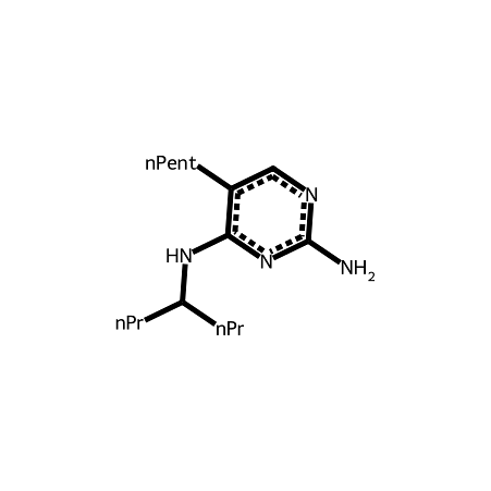 CCCCCc1cnc(N)nc1NC(CCC)CCC